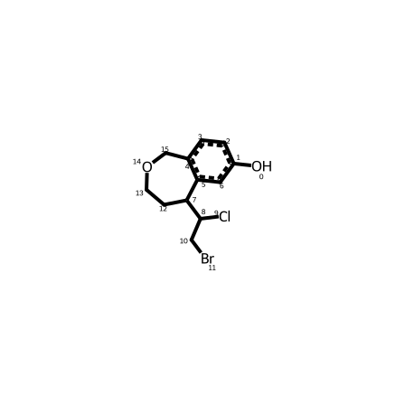 Oc1ccc2c(c1)C(C(Cl)CBr)CCOC2